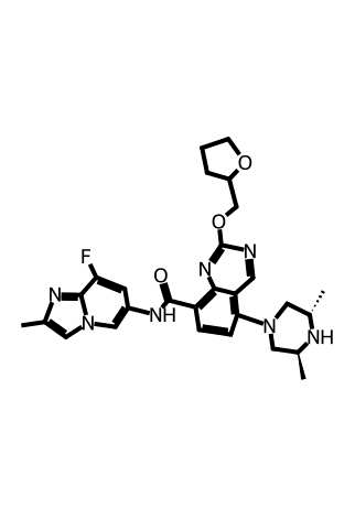 Cc1cn2cc(NC(=O)c3ccc(N4C[C@H](C)N[C@@H](C)C4)c4cnc(OCC5CCCO5)nc34)cc(F)c2n1